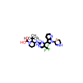 CC(C)(C)C1C(Nc2ncc(C(F)(F)F)c(-c3cn(C4CNCCS4)c4ncccc34)n2)CCCN1C(=O)O